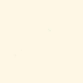 CC(C)CCN(C)C(=O)CCCCCC(C)(C)C